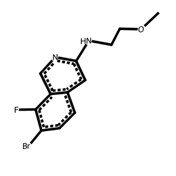 COCCNc1cc2ccc(Br)c(F)c2cn1